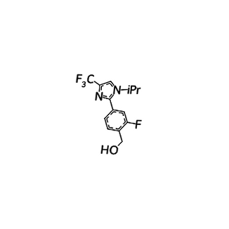 CC(C)n1cc(C(F)(F)F)nc1-c1ccc(CO)c(F)c1